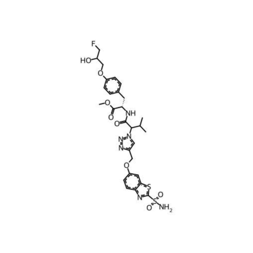 COC(=O)[C@H](Cc1ccc(OCC(O)CF)cc1)NC(=O)C(C(C)C)n1cc(COc2ccc3nc(S(N)(=O)=O)sc3c2)nn1